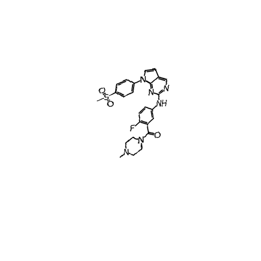 CN1CCN(C(=O)c2cc(Nc3ncc4ccn(-c5ccc(S(C)(=O)=O)cc5)c4n3)ccc2F)CC1